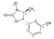 CCN1C(=O)O[C@@H](c2cccc(C#N)c2)[C@@H]1C